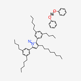 CCCCCCCCC1=C(c2cc(CCCC)cc(CCCCC)c2)[N+](=[N-])C(c2cc(CCCC)cc(CCCCC)c2)=C1.c1ccc([O][Ni][O]c2ccccc2)cc1